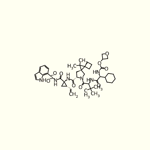 C=C[C@@H]1C[C@]1(NC(=O)[C@@H]1C[C@@]2(CN1C(=O)[C@@H](NC(=O)[C@@H](NC(=O)OC1COC1)C1CCCCC1)C(C)(C)C)C(C)(C)C21CCC1)C(=O)NS(=O)(=O)c1cccc2cc[nH]c12